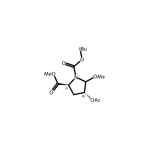 COC(=O)[C@@H]1C[C@@H](OC(C)=O)C(OC)N1C(=O)OC(C)(C)C